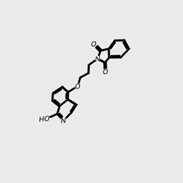 O=C1c2ccccc2C(=O)N1CCCOc1cccc2c(O)nccc12